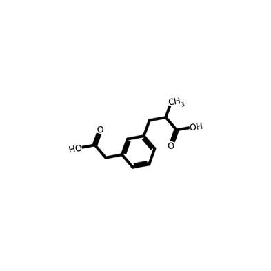 CC(Cc1cccc(CC(=O)O)c1)C(=O)O